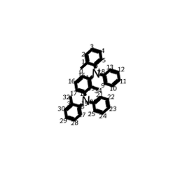 Cc1ccccc1N(c1ccccc1)c1cccc(N(c2ccccc2)c2ccccc2C)c1C